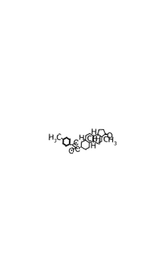 Cc1ccc(S(=O)(=O)O[C@@H]2CC[C@@]3(C)[C@@H](CC[C@@H]4[C@@H]3CC[C@]3(C)C(=O)CC[C@@H]43)C2)cc1